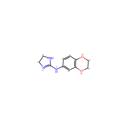 c1cc2c(cc1NC1=NCCN1)OCCO2